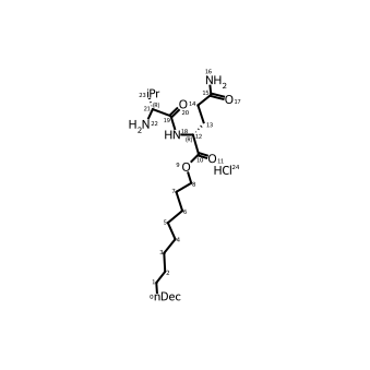 CCCCCCCCCCCCCCCCCCOC(=O)[C@@H](CCC(N)=O)NC(=O)[C@H](N)C(C)C.Cl